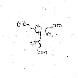 NC(CCC=O)CN(CC(N)CCC=O)CC(N)CCC=O